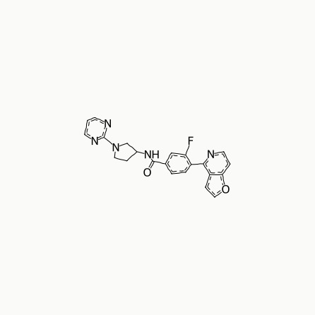 O=C(NC1CCN(c2ncccn2)C1)c1ccc(-c2nccc3occc23)c(F)c1